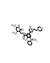 Cc1c(C(=O)NCC2C(=O)NC(C)CC2C)cc(C2CNN(CCN3CCOCC3)C2)cc1N(C)C1CCCCC1